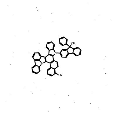 CC1(c2ccccc2)c2ccccc2-c2ccc(-n3c4ccccc4c4c5c6cccc7c8ccccc8n(c76)c5c5c6cccc(C#N)c6ccc5c43)cc21